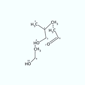 CC(C)CO.CC=O.CCO